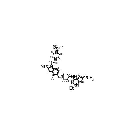 CCc1nc(NC2CCN(Cc3ccc4c(cc(C#N)n4CCN4CCN([S+](C)[O-])CC4)c3C)CC2)c2cc(CC(F)(F)F)sc2n1